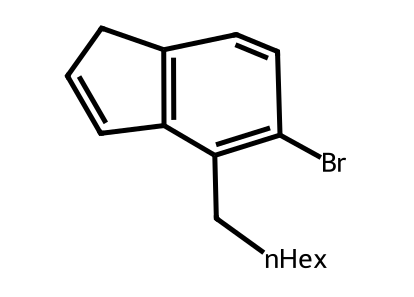 CCCCCCCc1c(Br)ccc2c1C=CC2